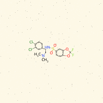 CN(C)C[C@H](NS(=O)(=O)c1ccc2c(c1)OC(F)(F)O2)c1ccc(Cl)c(Cl)c1